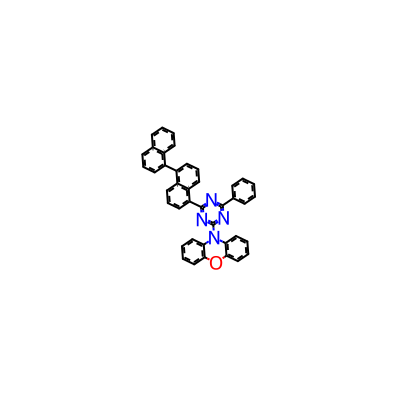 c1ccc(-c2nc(-c3cccc4c(-c5cccc6ccccc56)cccc34)nc(N3c4ccccc4Oc4ccccc43)n2)cc1